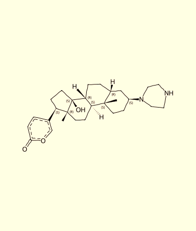 C[C@]12CC[C@H](N3CCNCC3)C[C@H]1CC[C@@H]1[C@@H]2CC[C@]2(C)[C@@H](c3ccc(=O)oc3)CC[C@]12O